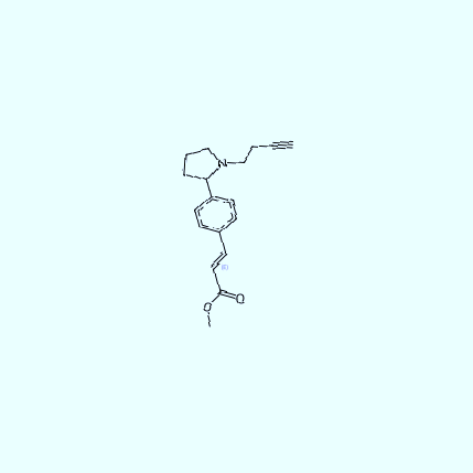 C#CCCN1CCCC1c1ccc(/C=C/C(=O)OC)cc1